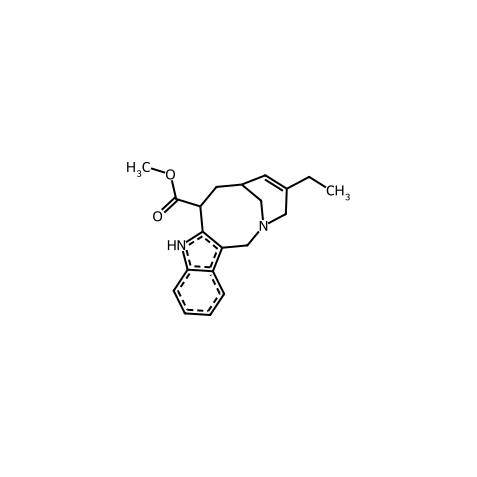 CCC1=CC2CC(C(=O)OC)c3[nH]c4ccccc4c3CN(C1)C2